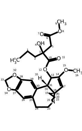 CCCC(O)(CC(=O)OC)C(=O)OC1C(OC)=C[C@]23CCCN2CCc2cc4c(cc2[C@H]13)OCO4